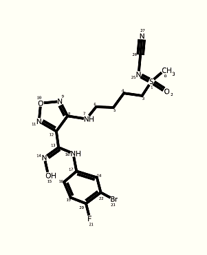 CS(=O)(CCCCNc1nonc1/C(=N/O)Nc1ccc(F)c(Br)c1)=NC#N